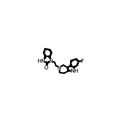 O=c1[nH]c2ccccc2n1CCN1CCc2[nH]c3cc(F)ccc3c2C1